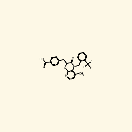 Cc1ccnc2c1N(Cc1ccccc1C(F)(F)F)C(=O)C(Cc1ccc(C(=O)O)cc1)S2